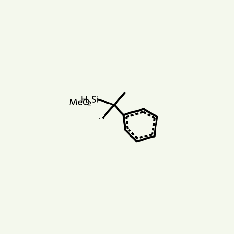 [CH2]C(C)([SiH2]OC)c1ccccc1